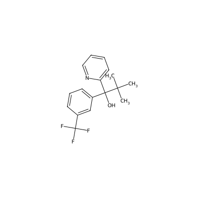 CC(C)(C)C(O)(c1cccc(C(F)(F)F)c1)c1ccccn1